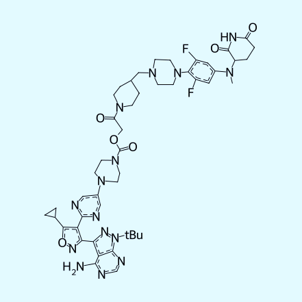 CN(c1cc(F)c(N2CCN(CC3CCN(C(=O)COC(=O)N4CCN(c5cnc(-c6c(-c7nn(C(C)(C)C)c8ncnc(N)c78)noc6C6CC6)nc5)CC4)CC3)CC2)c(F)c1)C1CCC(=O)NC1=O